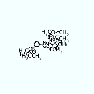 C=CCOC1(C)CCN(c2c(C(OC(C)(C)C)C(=O)O)c(C)nc3cc(-c4cccc(B5OC(C)(C)C(C)(C)O5)c4)nn23)CC1